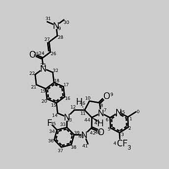 Cc1cc(C(F)(F)F)cc(N2C(=O)C[C@@H]3CN(Cc4ccc5c(c4)CCN(C(=O)/C=C/CN(C)C)C5)c4c(F)cccc4N(C)C(=O)[C@H]32)n1